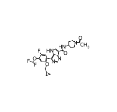 CC(=O)N1CCC(NC(=O)c2c[nH]c3c(-c4cc(F)c(OC(F)F)cc4OCC4CC4)ncnc23)CC1